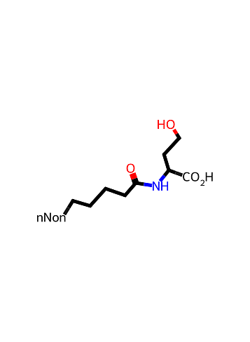 CCCCCCCCCCCCCC(=O)NC(CCO)C(=O)O